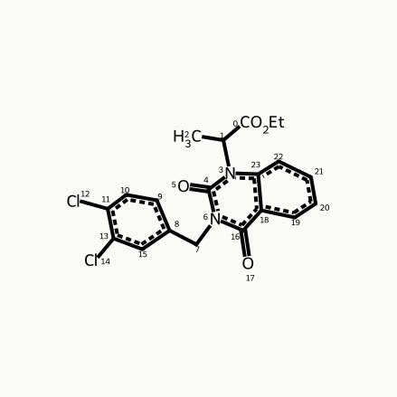 CCOC(=O)C(C)n1c(=O)n(Cc2ccc(Cl)c(Cl)c2)c(=O)c2ccccc21